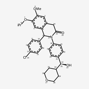 COc1cc2c(cc1OC(C)C)C(c1ccc(Cl)cc1)N(c1ccc([C@@H](O)C3CCOCC3)cc1)C(=O)C2